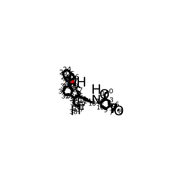 COc1cc(P(C)(C)=O)ccc1NCC#Cc1sc2c(NC3C4CCC3CN(C)C4)cccc2c1CC(F)(F)F